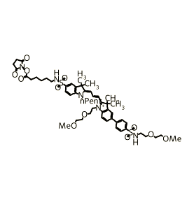 CCCCCN1C(=CC=CC2=[N+](CCOCCOC)c3ccc(-c4ccc(S(=O)(=O)NCCOCCOC)cc4)cc3C2(C)C)C(C)(C)c2cc(S(=O)(=O)NCCCCCC(=O)ON3C(=O)CCC3=O)ccc21